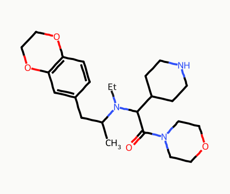 CCN(C(C)Cc1ccc2c(c1)OCCO2)C(C(=O)N1CCOCC1)C1CCNCC1